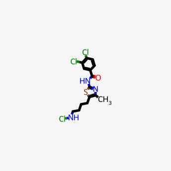 Cc1nc(NC(=O)c2ccc(Cl)c(Cl)c2)sc1CCCCNCl